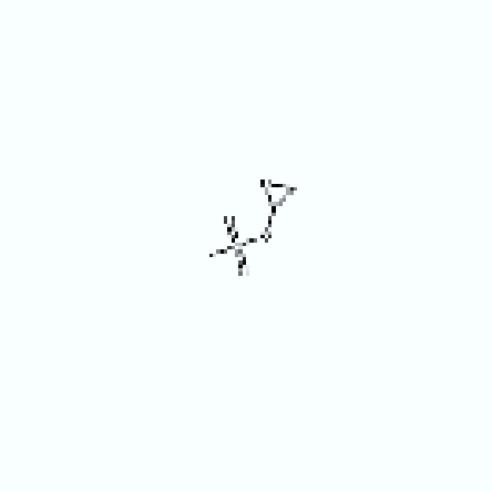 CS(=O)(=O)OC1CO1